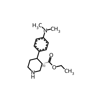 CCOC(=O)[C@@H]1CNCCC1c1ccc(N(C)C)cc1